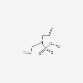 C=CCN(CC=C)S(=O)(=O)OCl